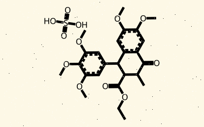 CCOC(=O)C1C(C)C(=O)c2cc(OC)c(OC)cc2C1c1cc(OC)c(OC)c(OC)c1.O=S(=O)(O)O